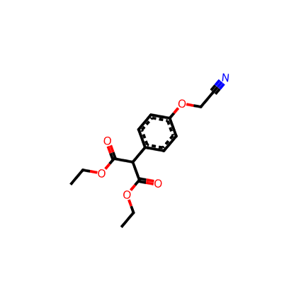 CCOC(=O)C(C(=O)OCC)c1ccc(OCC#N)cc1